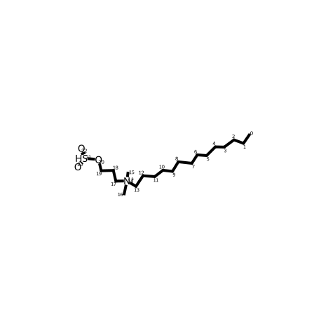 CCCCCCCCCCCCCC[N+](C)(C)CCCO[SH](=O)=O